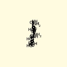 NC(=O)[C@@H](N)Cc1ccc(C(F)(F)P(=O)(O)OC[C@H](N)C(=O)N[C@@H](Cc2ccc(C(F)(F)P(=O)(O)O)cc2)C(=O)O)cc1